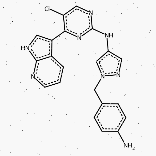 Nc1ccc(Cn2cc(Nc3ncc(Cl)c(-c4c[nH]c5ncccc45)n3)cn2)cc1